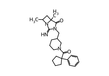 CC1CC2(C)C(=O)N(CC3CCCN(C(=O)C4(c5ccccc5)CCCC4)C3)C(=N)N12